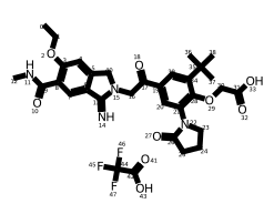 CCOc1cc2c(cc1C(=O)NC)C(=N)N(CC(=O)c1cc(N3CCCC3=O)c(OCC(=O)O)c(C(C)(C)C)c1)C2.O=C(O)C(F)(F)F